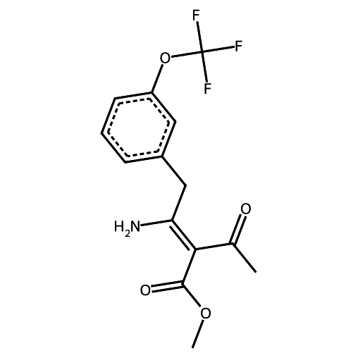 COC(=O)/C(C(C)=O)=C(\N)Cc1cccc(OC(F)(F)F)c1